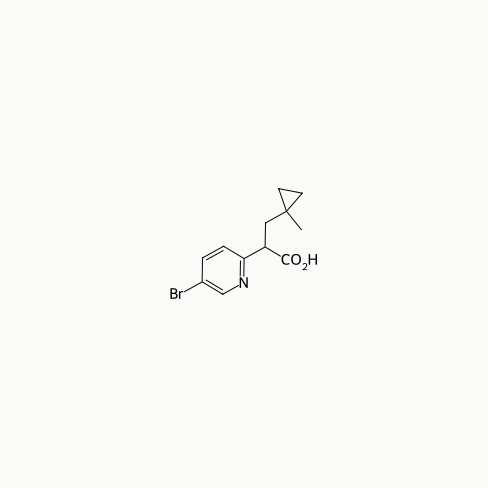 CC1(CC(C(=O)O)c2ccc(Br)cn2)CC1